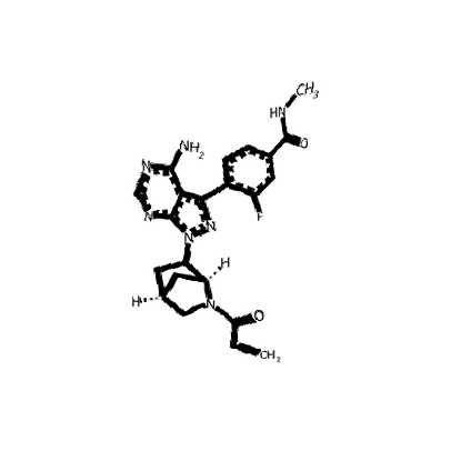 C=CC(=O)N1C[C@H]2CC(n3nc(-c4ccc(C(=O)NC)cc4F)c4c(N)ncnc43)[C@@H]1C2